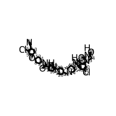 N#Cc1ccc(O[C@H]2CC[C@H](NC(=O)c3ccc(N4CCC(CN5CCC(n6ncc7c(N8CCC(=O)NC8O)cc(Cl)cc76)CC5)CC4)nn3)CC2)cc1Cl